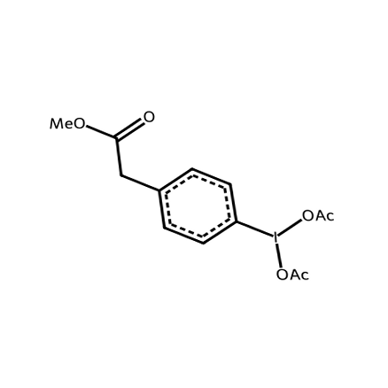 COC(=O)Cc1ccc(I(OC(C)=O)OC(C)=O)cc1